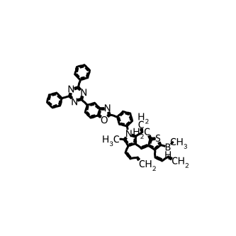 C=C/C=C\c1c(/C=c2/c(/C=C\C=C)c(BC)sc2=C)c(C=C)n(-c2cccc(-c3nc4cc(-c5nc(-c6ccccc6)nc(-c6ccccc6)n5)ccc4o3)c2)c1C